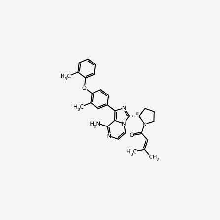 CC(C)=CC(=O)N1CCC[C@H]1c1nc(-c2ccc(Oc3ccccc3C)c(C)c2)c2c(N)nccn12